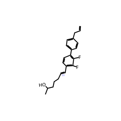 C=CCc1ccc(-c2ccc(/C=C/CCCC(C)O)c(F)c2F)cc1